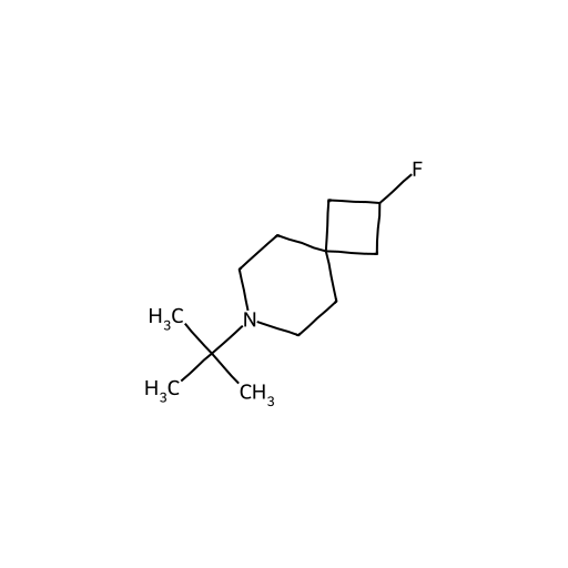 CC(C)(C)N1CCC2(CC1)CC(F)C2